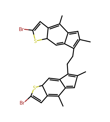 CC1=C(CCC2=C(C)C=C3C2=CC2SC(Br)=CC2=C3C)C2=CC3SC(Br)=CC3=C(C)C2=C1